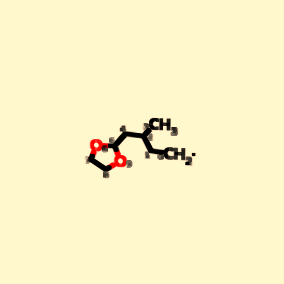 [CH2]CC(C)CC1OCCO1